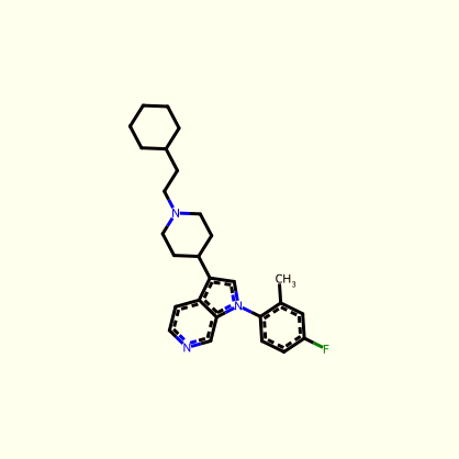 Cc1cc(F)ccc1-n1cc(C2CCN(CCC3CCCCC3)CC2)c2ccncc21